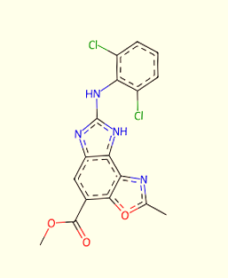 COC(=O)c1cc2nc(Nc3c(Cl)cccc3Cl)[nH]c2c2nc(C)oc12